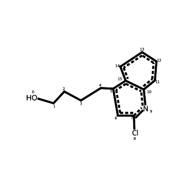 OCCCCc1cc(Cl)nc2ccccc12